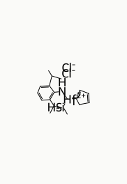 CC(C)c1cccc(C(C)C)c1[NH][Hf+2]([C]1=CC=CC1)[SiH](C)C.[Cl-].[Cl-]